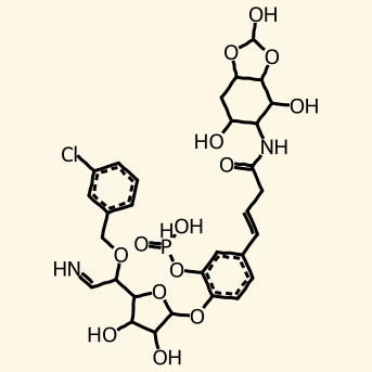 N=CC(OCc1cccc(Cl)c1)C1OC(Oc2ccc(/C=C/CC(=O)NC3C(O)CC4OC(O)OC4C3O)cc2O[PH](=O)O)C(O)C1O